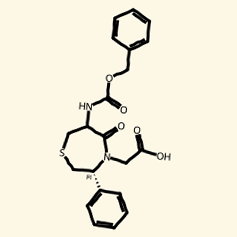 O=C(O)CN1C(=O)C(NC(=O)OCc2ccccc2)CSC[C@H]1c1ccccc1